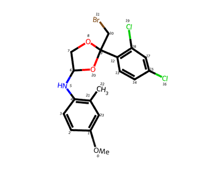 COc1ccc(NC2COC(CBr)(c3ccc(Cl)cc3Cl)O2)c(C)c1